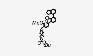 COc1nc(-c2cccc(-c3cccc4c3CCC4)c2Cl)ccc1CN1CC2(C1)CN(C(=O)OC(C)(C)C)C2